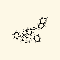 CCC(CCCc1ccccc1)(c1ccc(OCc2ccc3ccccc3n2)cc1)C(C(O)=S)c1ccccc1